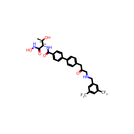 C[C@@H](O)[C@H](NC(=O)c1ccc(-c2ccc(CC(=O)CNCc3cc(C(F)(F)F)cc(C(F)(F)F)c3)cc2)cc1)C(=O)NO